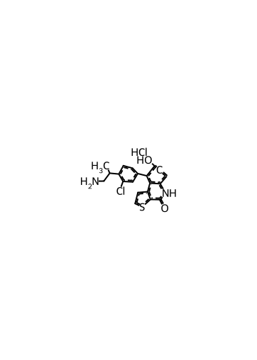 CC(CN)c1ccc(-c2c(O)ccc3[nH]c(=O)c4sccc4c23)cc1Cl.Cl